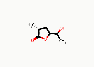 CC(O)[C@@H]1C[C@@H](C)C(=O)O1